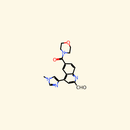 Cn1cnc(-c2cc(C=O)nc3ccc(C(=O)N4CCOCC4)cc23)c1